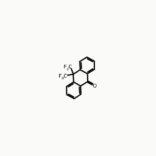 O=C1c2ccccc2C(C(F)(F)F)(C(F)(F)F)c2ccccc21